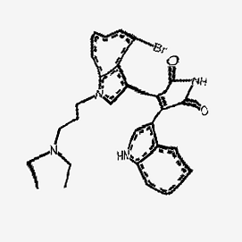 CCN(CC)CCCn1cc(C2=C(c3c[nH]c4ccccc34)C(=O)NC2=O)c2c(Br)cccc21